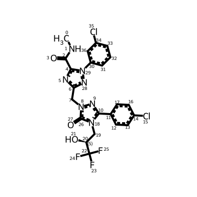 CNC(=O)c1nc(Cn2nc(-c3ccc(Cl)cc3)n(C[C@H](O)C(F)(F)F)c2=O)nn1-c1cccc(Cl)c1